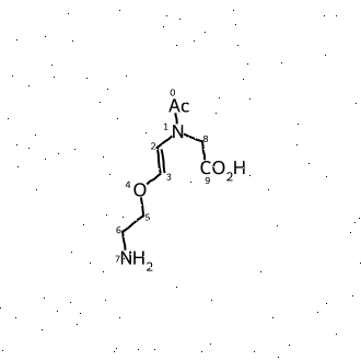 CC(=O)N(C=COCCN)CC(=O)O